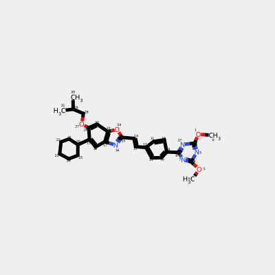 COc1nc(OC)nc(-c2ccc(C=Cc3nc4cc(C5CCCCC5)c(OCC(C)C)cc4o3)cc2)n1